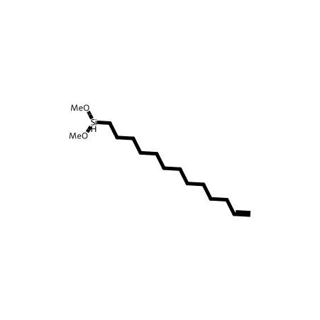 C=CCCCCCCCCCCC[SiH](OC)OC